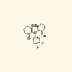 NC1=C(N(C2=C(O)CCCC2=O)c2ccc(F)c(F)c2)C(=O)CCC1